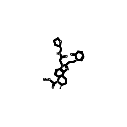 COC(=O)N1c2ccc3c(nc(CCn4ccccc4=O)n3CC(=O)NC[C@H]3CCCO3)c2CC[C@@H]1C